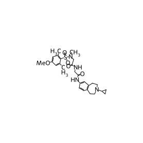 COc1cc(C)c(S(=O)(=O)N(C)CC(=O)NCC(=O)Nc2ccc3c(c2)CCN(C2CC2)CC3)c(C)c1